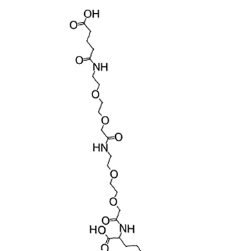 CCCCC(NC(=O)COCCOCCNC(=O)COCCOCCNC(=O)CCCC(=O)O)C(=O)O